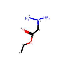 CCOC(=O)CN(N)N